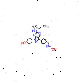 CCC[C@H](C)Nc1ncc2c(-c3ccc(CNCCO)cc3)nn([C@H]3CC[C@H](O)CC3)c2n1